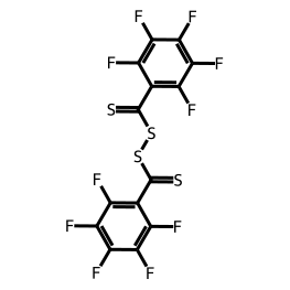 Fc1c(F)c(F)c(C(=S)SSC(=S)c2c(F)c(F)c(F)c(F)c2F)c(F)c1F